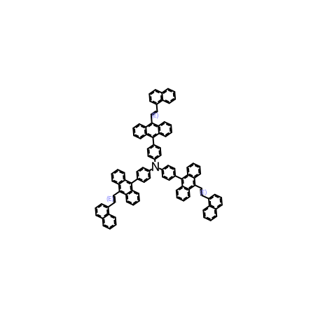 C(=C\c1c2ccccc2c(-c2ccc(N(c3ccc(-c4c5ccccc5c(/C=C/c5cccc6ccccc56)c5ccccc45)cc3)c3ccc(-c4c5ccccc5c(/C=C/c5cccc6ccccc56)c5ccccc45)cc3)cc2)c2ccccc12)/c1cccc2ccccc12